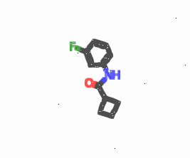 O=C(Nc1cccc(F)c1)C1CCC1